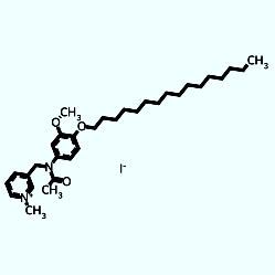 CCCCCCCCCCCCCCCCOc1ccc(N(Cc2ccc[n+](C)c2)C(C)=O)cc1OC.[I-]